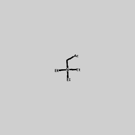 CC[Si](CC)(CC)CC(C)=O